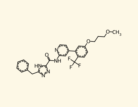 COCCCOc1ccc(C(F)(F)F)c(-c2ccnc(NC(=O)c3nnc(Cc4ccccc4)[nH]3)c2)c1